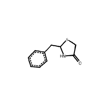 O=C1CSC(Cc2ccccc2)N1